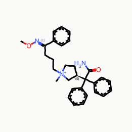 CO/N=C(\CCC[N+]1(C)CC[C@@H](C(C(N)=O)(c2ccccc2)c2ccccc2)C1)c1ccccc1